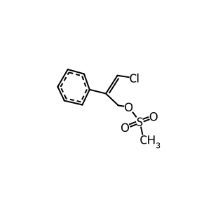 CS(=O)(=O)OCC(=CCl)c1ccccc1